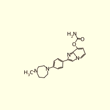 CN1CCCN(c2ccc(-c3cn4cccc(OC(N)=O)c4n3)cc2)CC1